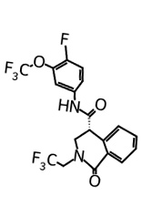 O=C(Nc1ccc(F)c(OC(F)(F)F)c1)[C@H]1CN(CC(F)(F)F)C(=O)c2ccccc21